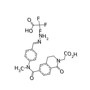 CN(C(=O)c1ccc2c(c1)CCN(CC(=O)O)C2=O)c1ccc(C=NN)cc1.O=C(O)C(F)(F)F